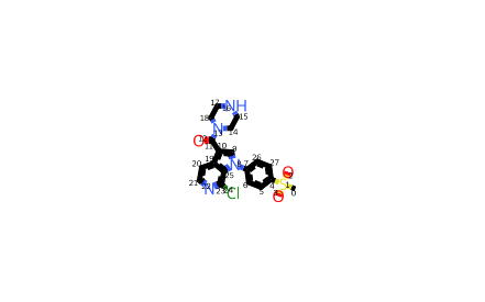 CS(=O)(=O)c1ccc(-n2cc(C(=O)N3CCNCC3)c3ccnc(Cl)c32)cc1